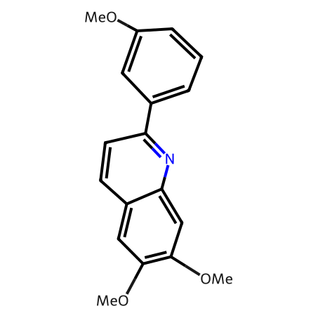 COc1cccc(-c2ccc3cc(OC)c(OC)cc3n2)c1